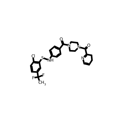 CC(F)(F)c1ccc(Cl)c(SNc2ccc(C(=O)N3CCN(C(=O)C4=NC=CCC4)CC3)cc2)c1